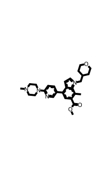 COC(=O)c1cc(-c2ccc(N3CCN(C)CC3)nc2)c2ccn(CC3CCOCC3)c2c1C